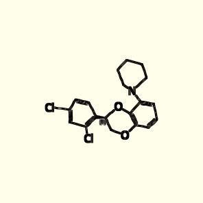 Clc1ccc([C@@H]2COc3cccc(N4CCCCC4)c3O2)c(Cl)c1